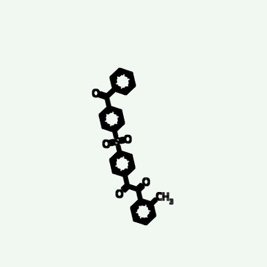 Cc1ccccc1C(=O)C(=O)c1ccc(S(=O)(=O)c2ccc(C(=O)c3ccccc3)cc2)cc1